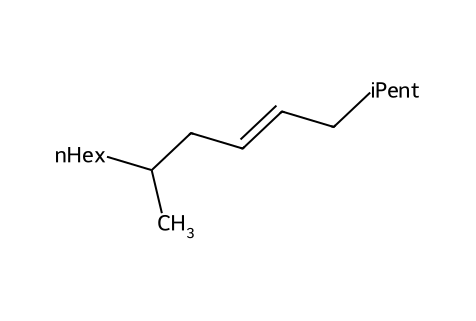 [CH2]CCCCCC(C)CC=CCC(C)CC[CH2]